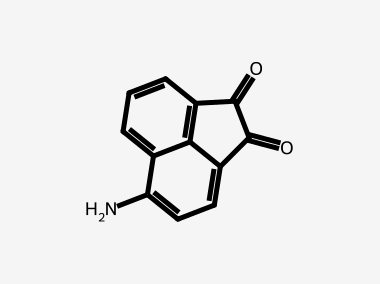 Nc1ccc2c3c(cccc13)C(=O)C2=O